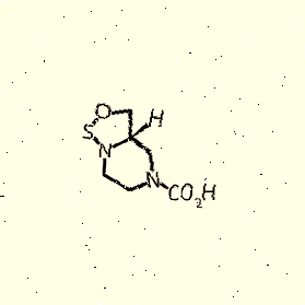 O=C(O)N1CCN2SOC[C@@H]2C1